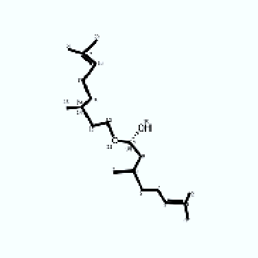 CC(C)=CCCC(C)C[C@@H](O)OCC[C@@H](C)CCC=C(C)C